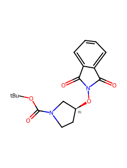 CC(C)(C)OC(=O)N1CC[C@H](ON2C(=O)c3ccccc3C2=O)C1